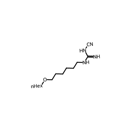 CCCCCCOCCCCCCNC(=N)NC#N